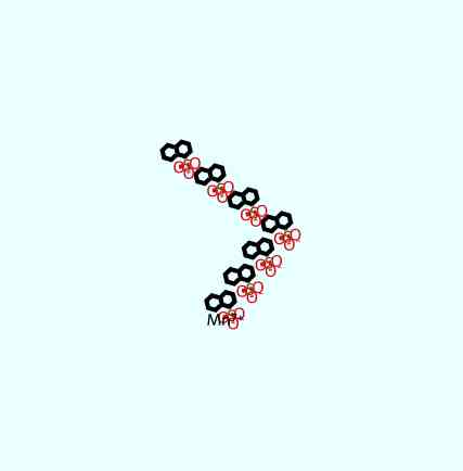 O=S(=O)([O-])c1cccc2ccccc12.O=S(=O)([O-])c1cccc2ccccc12.O=S(=O)([O-])c1cccc2ccccc12.O=S(=O)([O-])c1cccc2ccccc12.O=S(=O)([O-])c1cccc2ccccc12.O=S(=O)([O-])c1cccc2ccccc12.O=S(=O)([O-])c1cccc2ccccc12.[Mn+7]